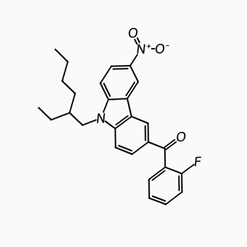 CCCCC(CC)Cn1c2ccc(C(=O)c3ccccc3F)cc2c2cc([N+](=O)[O-])ccc21